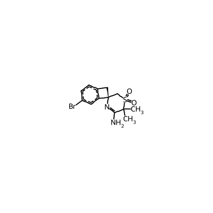 CC1(C)C(N)=N[C@@]2(Cc3ccc(Br)cc32)CS1(=O)=O